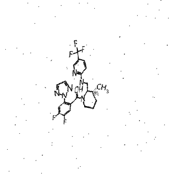 C[C@@H]1CCCN(C(=O)c2cc(F)c(F)cc2-n2nccn2)C1CNc1ccc(C(F)(F)F)cn1